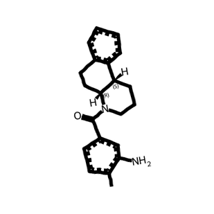 Cc1ccc(C(=O)N2CCC[C@H]3c4ccccc4CC[C@H]32)cc1N